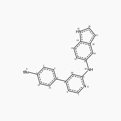 CC(C)(C)c1ccc(-c2ccnc(Nc3ccc4[nH]ccc4c3)c2)cc1